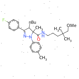 CCCCC1C(c2ccc(F)cc2)=NN(c2ccc(C)cc2)C1(C)C(=O)NCCCC(C)(C)COC